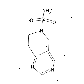 NS(=O)(=O)N1CCc2ncncc2C1